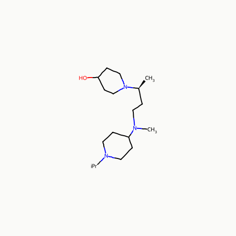 CC(C)N1CCC(N(C)CC[C@H](C)N2CCC(O)CC2)CC1